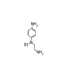 CCN(CCN)c1ccc(N)cc1